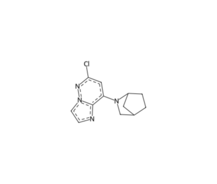 Clc1cc(N2CC3CCC2C3)c2nccn2n1